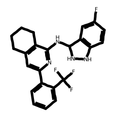 Fc1ccc2c(c1)C(Nc1nc(-c3ccccc3C(F)(F)F)cc3c1CCCC3)NN2